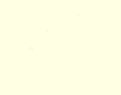 CCS(=O)(=O)Cc1ccc2c(c1)/C(=C(/Nc1ccc(CN3CCCCC3)cc1)c1ccccc1)C(=O)N2